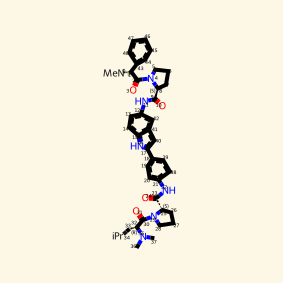 CN[C@@H](C(=O)N1CCC[C@H]1C(=O)Nc1ccc2[nH]c(-c3ccc(NC(=O)[C@@H]4CCCN4C(=O)[C@@H](CC(C)C)N(C)C)cc3)cc2c1)c1ccccc1